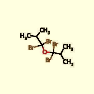 CC(C)C(Br)(Br)OC(Br)(Br)C(C)C